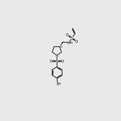 C=CS(=O)(=O)NC[C@@H]1CCN(S(=O)(=O)c2ccc(C(C)C)cc2)C1